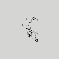 CC(C)CCC[C@@H](C)C1CC[C@H]2[C@@H]3CC=C4C[C@@H](Cl)CC[C@]4(C)[C@H]3CC[C@]12C